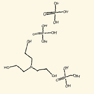 O=P(O)(O)O.O=P(O)(O)O.O=P(O)(O)O.OCCN(CCO)CCO